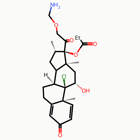 CCC(=O)O[C@]1(C(=O)COCN)[C@@H](C)CC2[C@@H]3CCC4=CC(=O)C=C[C@]4(C)[C@@]3(Cl)[C@@H](O)C[C@@]21C